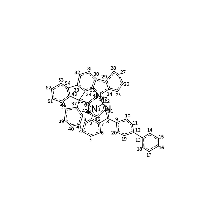 CN1c2ccccc2C(c2ccc(-c3ccccc3)cc2)=NC1n1c2ccccc2c2ccc3c(c21)C(c1ccccc1)(c1ccccc1)c1ccccc1-3